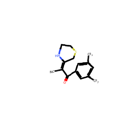 N#CC(C(=O)c1cc(C(F)(F)F)cc(C(F)(F)F)c1)=C1CSCCN1